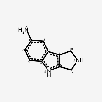 Nc1ccc2[nH]c3c(c2c1)CNC3